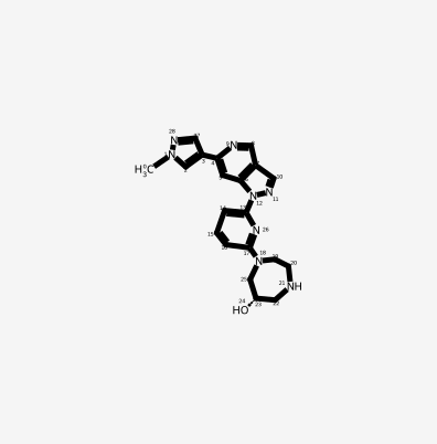 Cn1cc(-c2cc3c(cn2)cnn3-c2cccc(N3CCNC[C@H](O)C3)n2)cn1